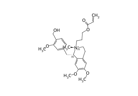 C=CC(=O)OCCC[N@+]1(C)CCc2cc(OC)c(OC)cc2[C@@H]1Cc1ccc(CO)c(OC)c1